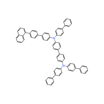 c1ccc(-c2ccc(N(c3ccc(-c4ccccc4)cc3)c3ccc(-c4ccc(N(c5ccc(-c6ccccc6)cc5)c5ccc(-c6ccc(-c7cccc8ccccc78)cc6)cc5)cc4)cc3)cc2)cc1